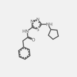 O=C(Cc1ccccc1)Nc1nnc(NC2CCCC2)s1